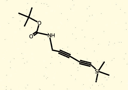 CC(C)(C)OC(=O)NCC#CC#C[Si](C)(C)C